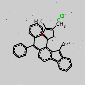 CC1=C(C)CC(c2c3c(ccc2=C(c2ccccc2)c2ccccc2)=c2ccccc2=[C]3[Zr+2])=C1.[Cl-].[Cl-]